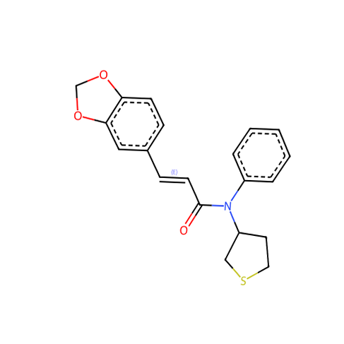 O=C(/C=C/c1ccc2c(c1)OCO2)N(c1ccccc1)C1CCSC1